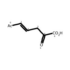 [CH2]C(=O)C=CCC(=O)C(=O)O